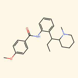 CCC(c1ccccc1NC(=O)c1ccc(OC)cc1)C1CCCCN1C